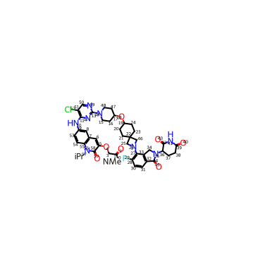 CNC(=O)COc1cc2cc(Nc3nc(N4CCC(OC5CCC6(CC5)CN(c5c(F)ccc7c5CN(C5CCC(=O)NC5=O)C7=O)C6)CC4)ncc3Cl)ccc2n(C(C)C)c1=O